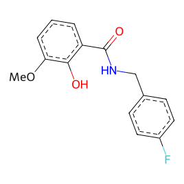 COc1cccc(C(=O)NCc2ccc(F)cc2)c1O